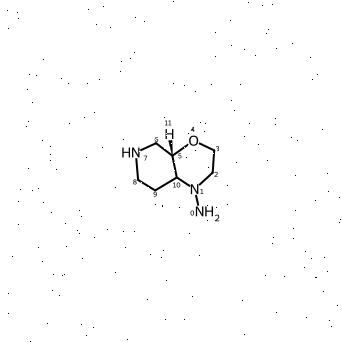 NN1CCO[C@H]2CNCCC21